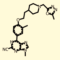 Cc1nnc(CN2CCC(CCOc3ccc(-c4nc(C#N)nc5c4ncn5C)cc3C)CC2)o1